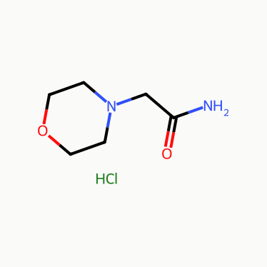 Cl.NC(=O)CN1CCOCC1